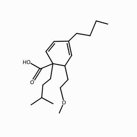 CCCCC1=CC(CCOC)C(CCC(C)C)(C(=O)O)C=C1